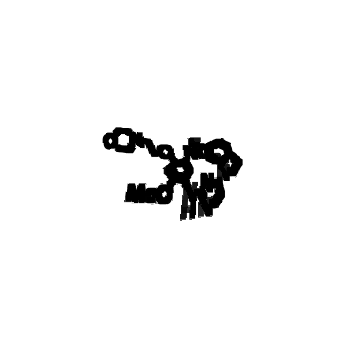 COc1cc(OCCN2CCOCC2)c([N+](=O)[O-])cc1Nc1nccc(-n2ccc3ccc(F)cc32)n1